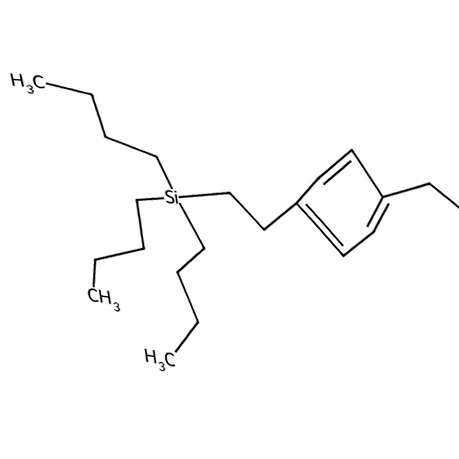 CCCC[Si](CCCC)(CCCC)CCc1ccc(CCl)cc1